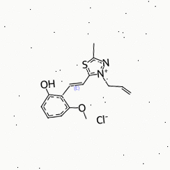 C=CC[n+]1nc(C)sc1/C=C/c1c(O)cccc1OC.[Cl-]